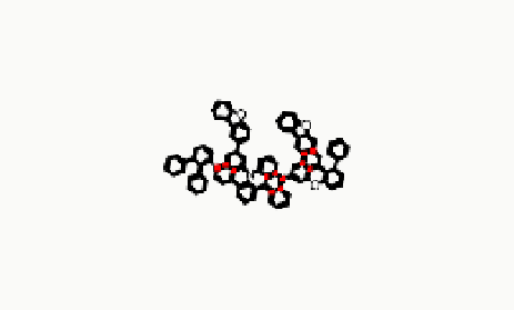 c1ccc(-c2cccc(Oc3cc(-c4ccc5oc6ccccc6c5c4)cc(N(c4ccccc4)c4cccc(N(c5cc(Oc6cccc(-c7ccccc7)c6-c6ccccc6)cc(-c6ccc7oc8ccccc8c7c6)c5)c5c(-c6ccccc6)cccc5-c5ccccc5)c4)c3)c2-c2ccccc2)cc1